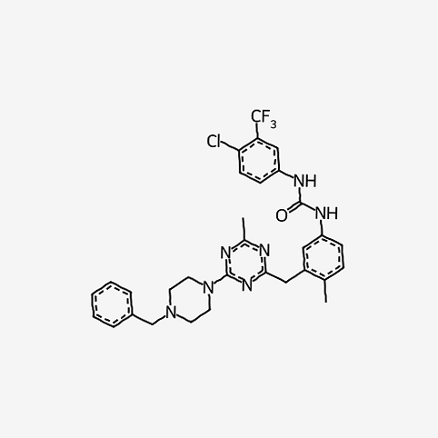 Cc1nc(Cc2cc(NC(=O)Nc3ccc(Cl)c(C(F)(F)F)c3)ccc2C)nc(N2CCN(Cc3ccccc3)CC2)n1